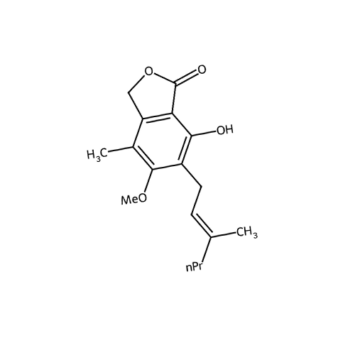 [CH]CCC(C)=CCc1c(O)c2c(c(C)c1OC)COC2=O